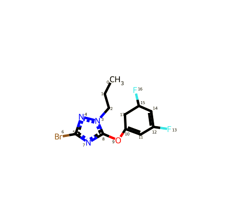 CCCn1nc(Br)nc1OC1=CC(F)=CC(F)C1